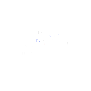 CC(C)C[C@@H](N)C(=O)N[C@@H](C)C(=O)N[C@@H](CC(C(=O)O)C(=O)O)C(=O)O